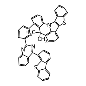 CC1(C)c2c(-c3cccc(-c4nc(-c5cccc6c5sc5ccccc56)c5ccccc5n4)c3)cccc2-n2c3c1cccc3c1sc3ccccc3c12